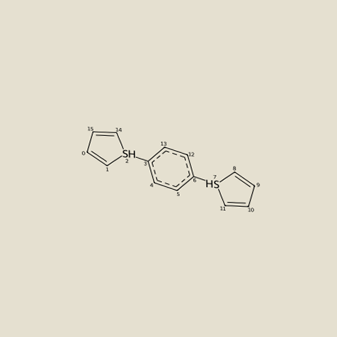 C1=C[SH](c2ccc([SH]3C=CC=C3)cc2)C=C1